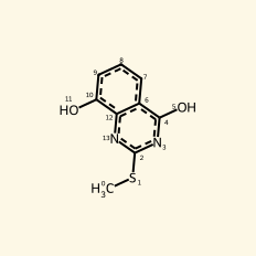 CSc1nc(O)c2cccc(O)c2n1